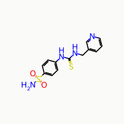 NS(=O)(=O)c1ccc(NC(=S)NCc2cccnc2)cc1